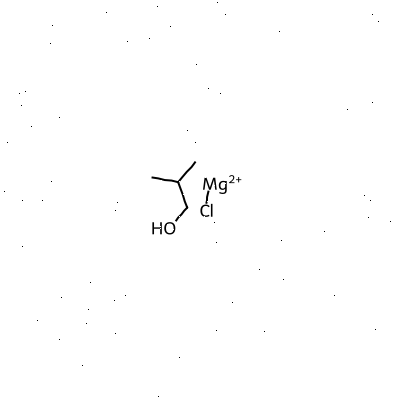 CC(C)CO.[Mg+2][Cl]